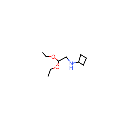 CCOC(CNC1CCC1)OCC